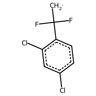 [CH2]C(F)(F)c1ccc(Cl)cc1Cl